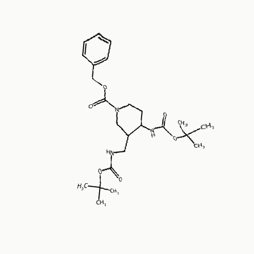 CC(C)(C)OC(=O)NCC1CN(C(=O)OCc2ccccc2)CCC1NC(=O)OC(C)(C)C